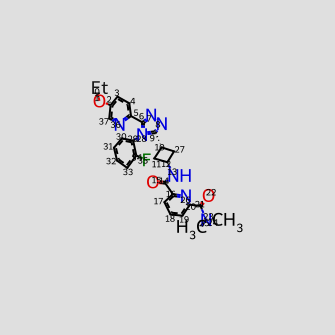 CCOc1ccc(-c2nnc([C@H]3C[C@H](NC(=O)c4cccc(C(=O)N(C)C)n4)C3)n2-c2ccccc2F)nc1